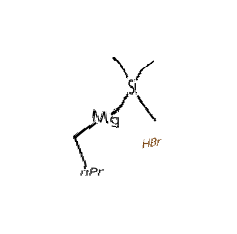 Br.CCC[CH2][Mg][Si](C)(C)C